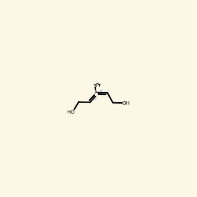 CCC/P(=C\CO)=C\CO